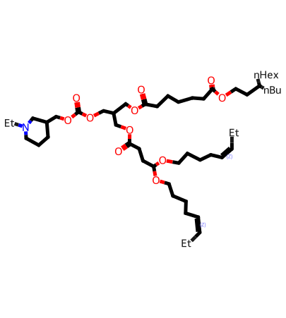 CC/C=C\CCCCOC(CCC(=O)OCC(COC(=O)CCCCCC(=O)OCCC(CCCC)CCCCCC)COC(=O)OCC1CCCN(CC)C1)OCCCC/C=C\CC